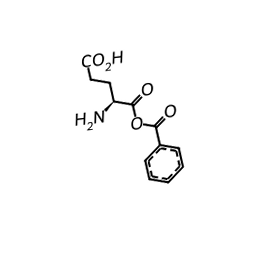 N[C@@H](CCC(=O)O)C(=O)OC(=O)c1ccccc1